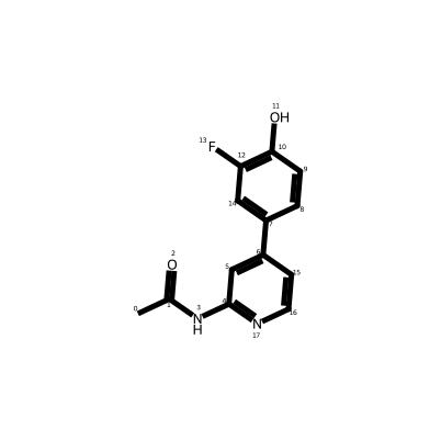 CC(=O)Nc1cc(-c2ccc(O)c(F)c2)ccn1